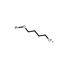 CC(C)OCCC[CH]C(F)(F)F